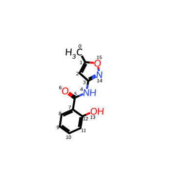 Cc1cc(NC(=O)c2ccccc2O)no1